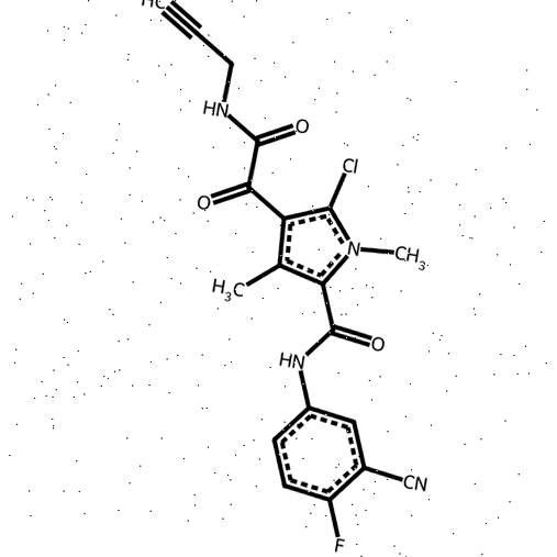 C#CCNC(=O)C(=O)c1c(C)c(C(=O)Nc2ccc(F)c(C#N)c2)n(C)c1Cl